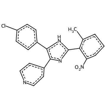 Cc1cccc([N+](=O)[O-])c1-c1nc(-c2ccncc2)c(-c2ccc(Cl)cc2)[nH]1